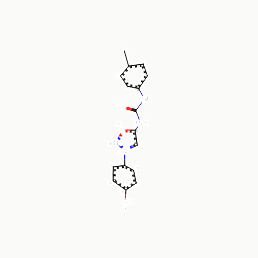 Cc1ccc(NC(=O)Nc2c[n+](-c3ccc(O)cc3)no2)cc1